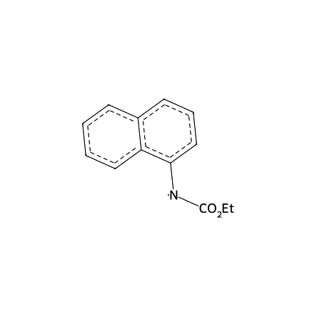 CCOC(=O)[N]c1cccc2ccccc12